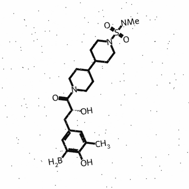 Bc1cc(C[C@@H](O)C(=O)N2CCC(C3CCN(S(=O)(=O)NC)CC3)CC2)cc(C)c1O